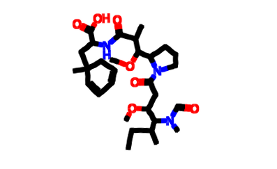 CCC(C)C(C(CC(=O)N1CCCC1C(OC)C(C)C(=O)NC(CC1(C)C=CC=CC1)C(=O)O)OC)N(C)C=O